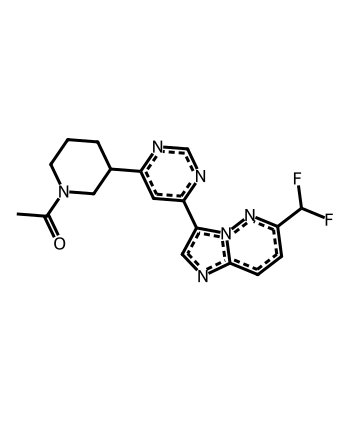 CC(=O)N1CCCC(c2cc(-c3cnc4ccc(C(F)F)nn34)ncn2)C1